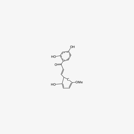 COC1=CC=C(O)C(C=CC(=O)c2ccc(O)cc2O)C1